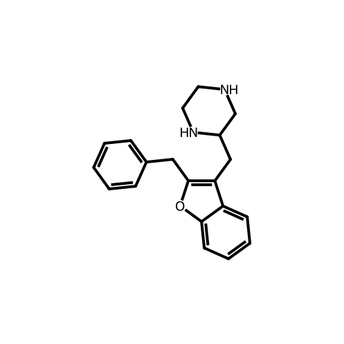 c1ccc(Cc2oc3ccccc3c2CC2CNCCN2)cc1